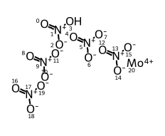 O=[N+]([O-])O.O=[N+]([O-])[O-].O=[N+]([O-])[O-].O=[N+]([O-])[O-].O=[N+]([O-])[O-].[Mo+4]